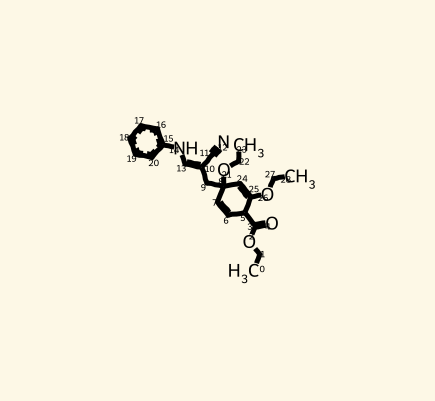 CCOC(=O)C1C=CC(C/C(C#N)=C/Nc2ccccc2)(OCC)C=C1OCC